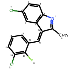 O=CC1=Nc2ccc(Cl)cc2/C1=C\c1cccc(Cl)c1F